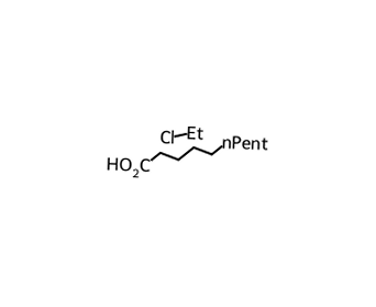 CCCCCCCCCC(=O)O.CCCl